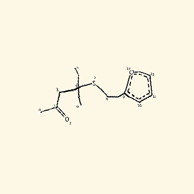 CC(=O)CC(C)(C)SCc1ccco1